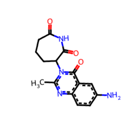 Cc1nc2ccc(N)cc2c(=O)n1C1CCCC(=O)NC1=O